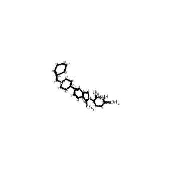 C=C1CCC(N2Cc3cc(C4CCN(CC5CCCCC5)CC4)ccc3C2=C)C(=O)N1